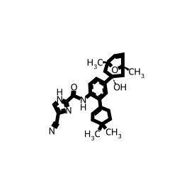 CC1(C)CC=C(c2cc([C@@]3(O)C[C@]4(C)C=C[C@](C)(C3)O4)ccc2NC(=O)c2nc(C#N)c[nH]2)CC1